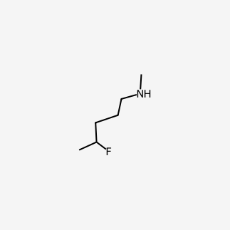 CNCCCC(C)F